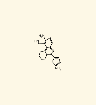 N=Cc1c(N)ccc2nc(-c3cnc(N)s3)c3c(c12)CCCC3